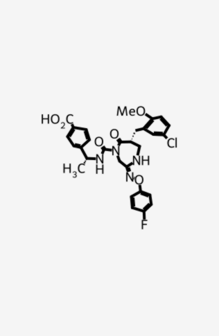 COc1ccc(Cl)cc1C[C@@H]1CN/C(=N\Oc2ccc(F)cc2)CN(C(=O)N[C@H](C)c2ccc(C(=O)O)cc2)C1=O